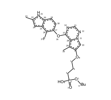 CCC(C)OP(=O)(O)CCCOc1cn2ncnc(Oc3ccc4[nH]c(C)cc4c3F)c2c1C